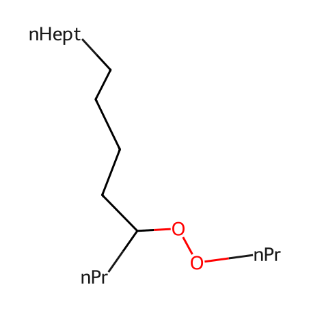 CCCCCCCCCCCC(CCC)OOCCC